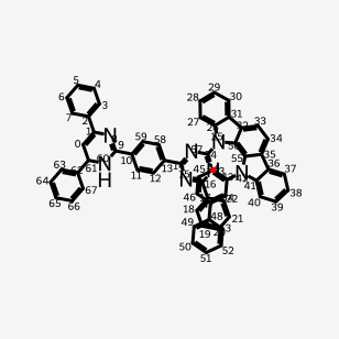 C1=C(c2ccccc2)N=C(c2ccc(-c3nc(-c4ccccc4)nc(-n4c5ccccc5c5ccc6c7ccccc7n(-c7cccc(-c8ccccc8)c7)c6c54)n3)cc2)NC1c1ccccc1